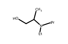 CCN(C(C)C)C(C)CO